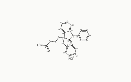 Cl.NC(=O)CCCC1(Cc2ccncc2)C(=O)C(c2ccccc2)c2ccccc21